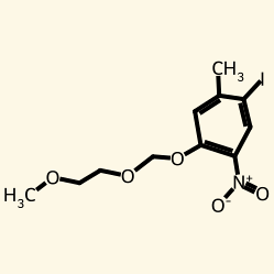 COCCOCOc1cc(C)c(I)cc1[N+](=O)[O-]